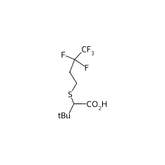 CC(C)(C)C(SCCC(F)(F)C(F)(F)F)C(=O)O